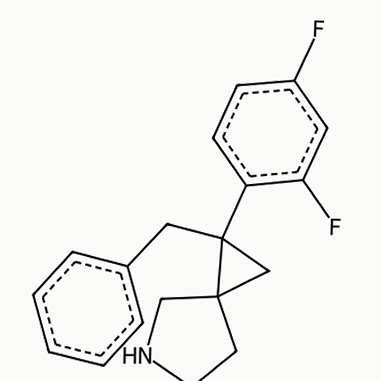 Fc1ccc(C2(Cc3ccccc3)CC23CCNC3)c(F)c1